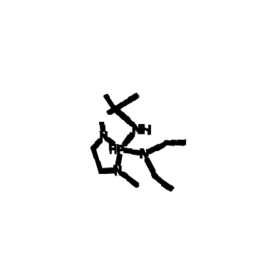 CCN(CC)[PH]1(NC(C)(C)C)N(C)CCN1C